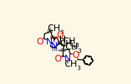 C[C@H]1CC(=O)N2C[C@]34C[C@]5(CC(OCc6ccccc6)N(C)C5=O)C(C)(C)[C@@H]3C[C@]12C(=O)N4C